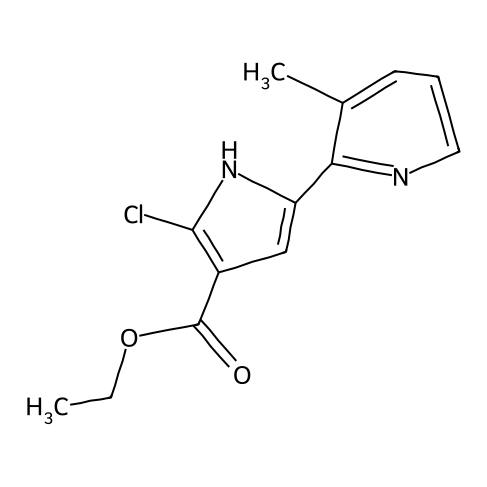 CCOC(=O)c1cc(-c2ncccc2C)[nH]c1Cl